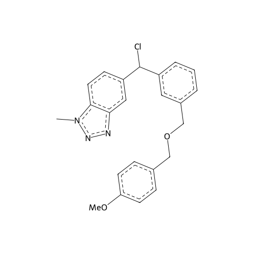 COc1ccc(COCc2cccc(C(Cl)c3ccc4c(c3)nnn4C)c2)cc1